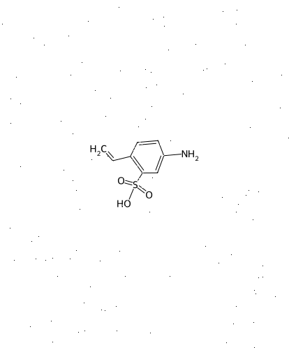 C=Cc1ccc(N)cc1S(=O)(=O)O